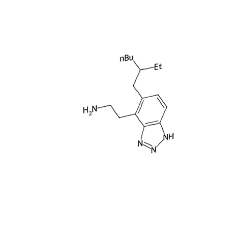 CCCCC(CC)Cc1ccc2[nH]nnc2c1CCN